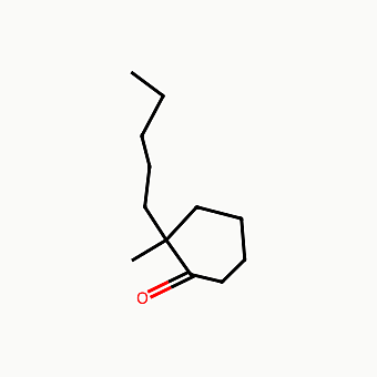 CCCCCC1(C)CCCCC1=O